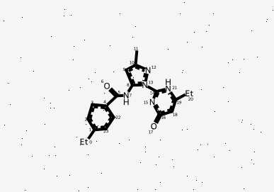 CCc1ccc(C(=O)Nc2cc(C)nn2-c2nc(=O)cc(CC)[nH]2)cc1